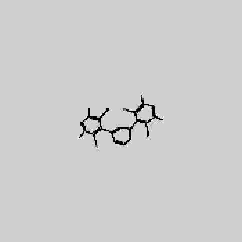 Fc1cc(F)c(F)c(-c2cccc(-c3c(F)c(F)cc(F)c3F)c2)c1F